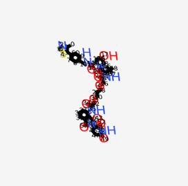 Cc1ncsc1-c1ccc(CNC(=O)[C@@H]2C[C@@H](O)CN2C(=O)[C@@H](NC(=O)COCCCOCC(=O)Nc2cccc3c2C(=O)N(C2CCC(=O)NC2=O)C3=O)C(C)(C)C)cc1